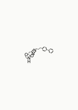 O=C1NCCO[C@H]1Cc1cn(CCCc2ccc(-c3ccccc3)cc2)cn1